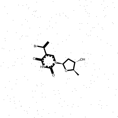 C=C(Br)c1cn([C@H]2C[C@H](O)[C@@H](C)O2)c(=O)[nH]c1=O